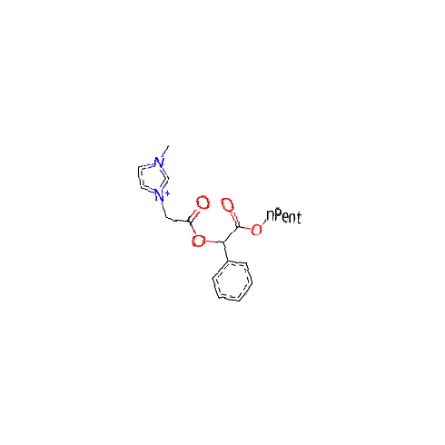 CCCCCOC(=O)C(OC(=O)C[n+]1ccn(C)c1)c1ccccc1